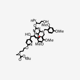 CCCC(CCO)Oc1nc(N(Cc2ccc(OC)cc2OC)Cc2ccc(OC)cc2OC)c2ncc(C(O)c3ccc(OCCCN(C)C(=O)OC(C)(C)C)nc3)n2n1